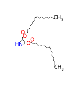 CCCCCCCC/C=C\CCCCCCCC(=O)OC[C@@H]1CNC[C@H]1COC(=O)CCCCCCC/C=C\CCCCCCCC